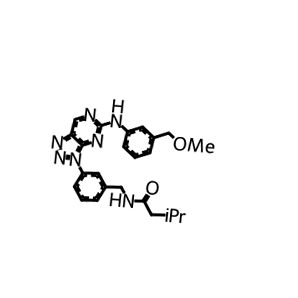 COCc1cccc(Nc2ncc3nnn(-c4cccc(CNC(=O)CC(C)C)c4)c3n2)c1